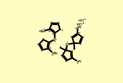 CCCC1=C[C](C)([Zr][C]2(C)C=CC(CCC)=C2)C=C1.CCCCC1=[C]([Zr][C]2=C(CCCC)C=CC2)CC=C1.Cl.Cl